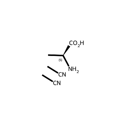 CC#N.CC#N.C[C@H](N)C(=O)O